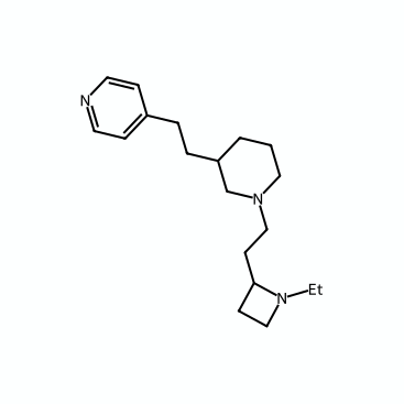 CCN1CCC1CCN1CCCC(CCc2ccncc2)C1